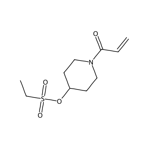 C=CC(=O)N1CCC(OS(=O)(=O)CC)CC1